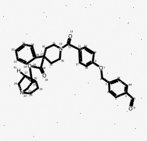 O=Cc1ccc(COc2ccc(C(=O)N3CCC(C(=O)O[C@H]4CN5CCC4CC5)(c4ccccc4)CC3)cc2)cc1